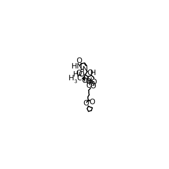 C=C(C)[C@@]1(O)[C@@H]2O[P@@](=O)(OCCCCC(=O)OC3CCCC3)OC[C@H]2O[C@H]1n1ccc(=O)[nH]c1=O